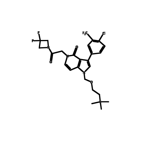 CS(C)(C)CCOCn1cc(-c2ccc(Cl)c(C(F)(F)F)c2)c2c(=O)n(CC(=O)N3CC(F)(F)C3)ccc21